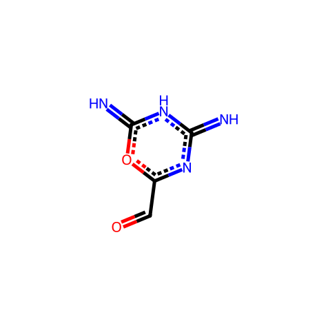 N=c1nc(C=O)oc(=N)[nH]1